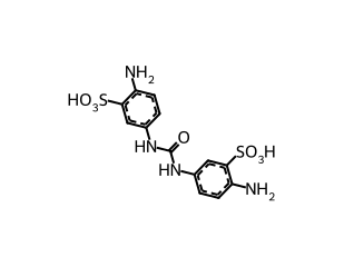 Nc1ccc(NC(=O)Nc2ccc(N)c(S(=O)(=O)O)c2)cc1S(=O)(=O)O